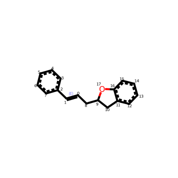 C(=C\c1ccccc1)/CC1Cc2ccccc2O1